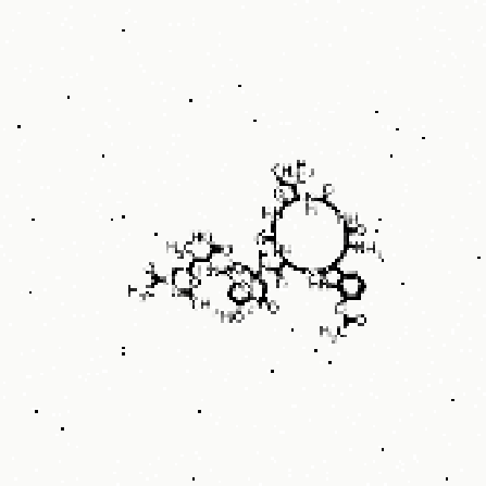 CC[C@H](C)[C@@H]1NC(=O)CNC(=O)C(N)Cc2c([nH]c3c(OC(C)=O)cccc23)SCC(C(=O)NC(C=O)(CC(N)=O)N2C[C@H](O)C[C@H]2C(=O)N[C@H](C(=O)O)[C@@H](C)[C@H](COC(C)=O)OC(C)=O)NC(=O)CNC1=O